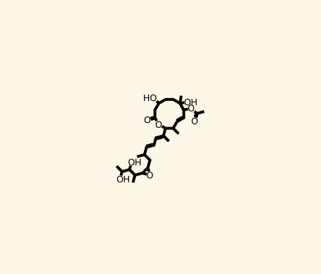 CC(=O)OC1/C=C/C(C)C(/C(C)=C/C=C/C(C)CC2OC2C(C)C(O)C(C)O)OC(=O)CC(O)CCC1(C)O